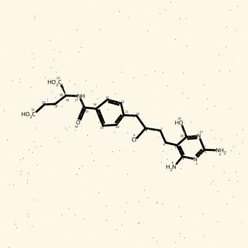 Nc1nc(N)c(CCC(Cl)Cc2ccc(C(=O)N[C@@H](CCC(=O)O)C(=O)O)cc2)c(O)n1